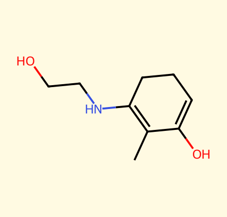 CC1=C(NCCO)CCC=C1O